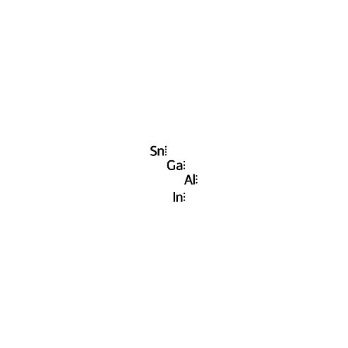 [Al].[Ga].[In].[Sn]